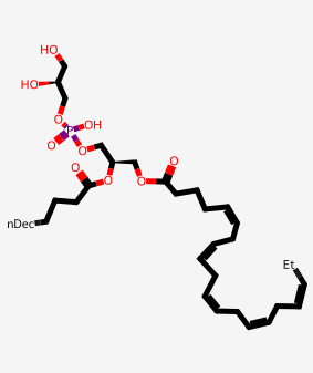 CC/C=C\C/C=C\C/C=C\C/C=C\C/C=C\CCCC(=O)OC[C@H](COP(=O)(O)OC[C@@H](O)CO)OC(=O)CCCCCCCCCCCCC